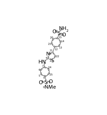 CNS(=O)(=O)c1ccc(Nc2nc(-c3ccc(S(N)(=O)=O)cc3)cs2)cc1